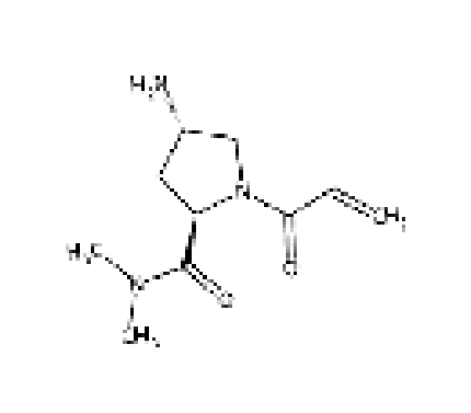 C=CC(=O)N1C[C@@H](N)C[C@@H]1C(=O)N(C)C